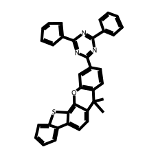 CC1(C)c2ccc(-c3nc(-c4ccccc4)nc(-c4ccccc4)n3)cc2Oc2c1ccc1c2sc2ccccc21